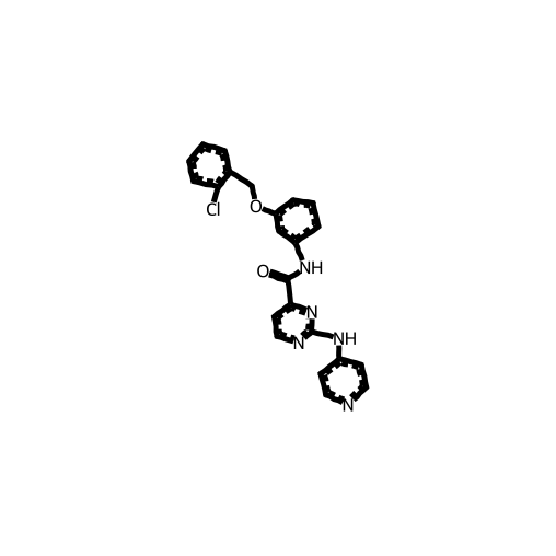 O=C(Nc1cccc(OCc2ccccc2Cl)c1)c1ccnc(Nc2ccncc2)n1